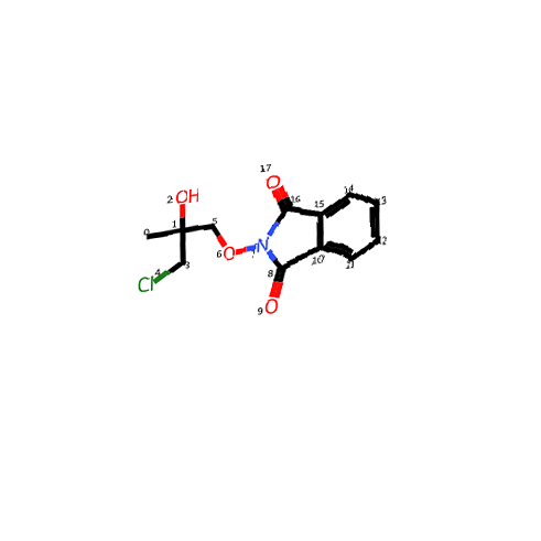 CC(O)(CCl)CON1C(=O)c2ccccc2C1=O